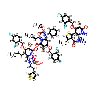 C=CCC1=C(OCc2ccc(F)cc2F)C(Br)C(=O)NC1CN(CCc1ccsc1)C(=O)O.C=CCn1c(N(C(=O)OC)c2ccccc2)cc(OCc2ccc(F)cc2F)c(Br)c1=O.Cc1csc(-c2c(C)[nH]c(=O)c(Br)c2OCc2ccc(F)cc2F)c1C(N)=O